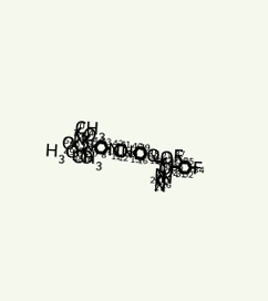 CCN1C(=O)N(c2ccc(N3CCN(c4ccc(OCC5OCC(Cn6cncn6)(c6ccc(F)cc6F)O5)cc4)CC3)cc2)C(=O)C(C)(C)C1=O